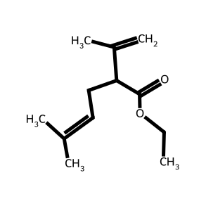 C=C(C)C(CC=C(C)C)C(=O)OCC